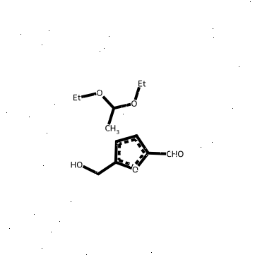 CCOC(C)OCC.O=Cc1ccc(CO)o1